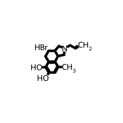 Br.C=CCN1CC2CCc3c(O)c(O)cc(C)c3C2C1